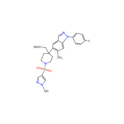 CCCn1cc(S(=O)(=O)N2CCC(COC)(c3cc4cnn(-c5ccc(F)cc5)c4cc3C)CC2)cn1